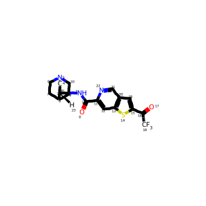 O=C(N[C@H]1CN2CCC1CC2)c1cc2sc(C(=O)C(F)(F)F)cc2cn1